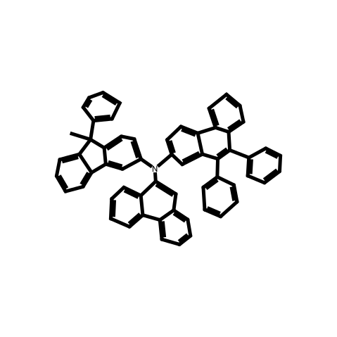 CC1(c2ccccc2)c2ccccc2-c2cc(N(c3ccc4c(c3)c(-c3ccccc3)c(-c3ccccc3)c3ccccc34)c3cc4ccccc4c4ccccc34)ccc21